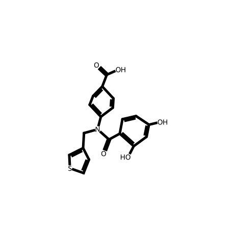 O=C(O)c1ccc(N(Cc2ccsc2)C(=O)c2ccc(O)cc2O)cc1